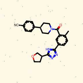 Cc1ccc(-c2nnc(C3CCOC3)[nH]2)cc1C(=O)N1CCC(c2ccc(C#N)cc2)CC1